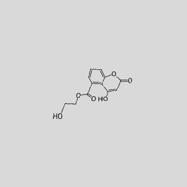 O=C(OCCO)c1cccc2oc(=O)cc(O)c12